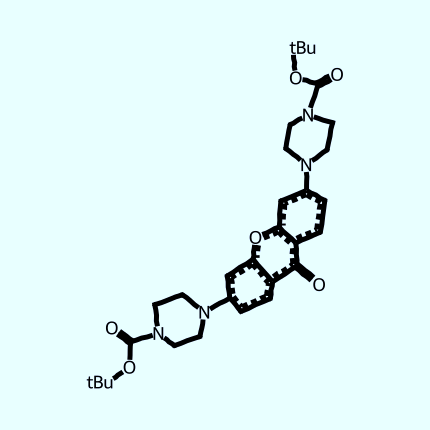 CC(C)(C)OC(=O)N1CCN(c2ccc3c(=O)c4ccc(N5CCN(C(=O)OC(C)(C)C)CC5)cc4oc3c2)CC1